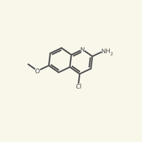 COc1ccc2nc(N)cc(Cl)c2c1